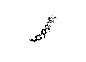 CNNC[C@@H]1CN(c2ccc(N3CCC(=CC#N)CC3)c(F)c2)C(=O)O1